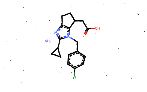 N.O=C(O)CC1CCc2nc(C3CC3)n(Cc3ccc(Cl)cc3)c21